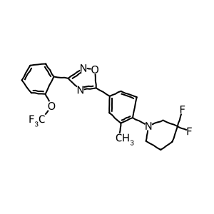 Cc1cc(-c2nc(-c3ccccc3OC(F)(F)F)no2)ccc1N1CCCC(F)(F)C1